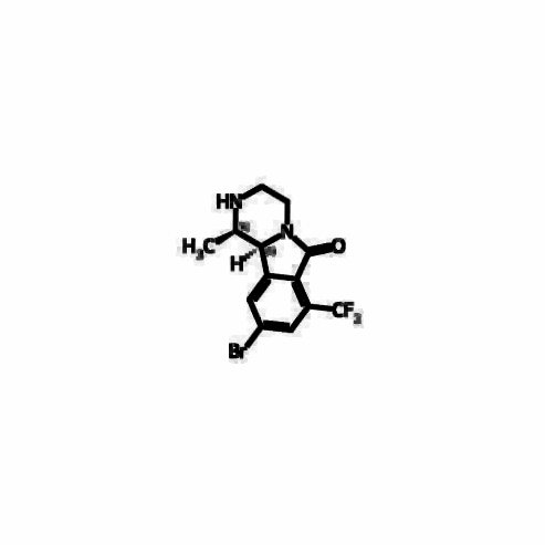 C[C@H]1NCCN2C(=O)c3c(cc(Br)cc3C(F)(F)F)[C@@H]12